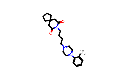 O=C1CC2(CCCC2)CC(=O)N1CCCCN1CCN(c2ccccc2C(F)(F)F)CC1